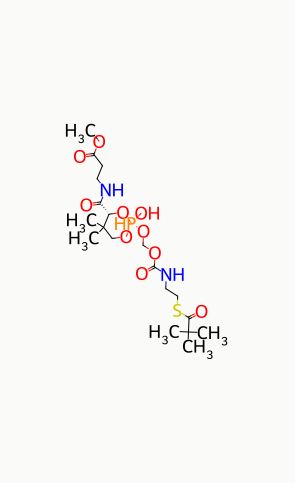 COC(=O)CCNC(=O)[C@@H]1O[PH](O)(OCOC(=O)NCCSC(=O)C(C)(C)C)OCC1(C)C